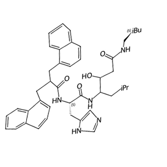 CC[C@H](C)CNC(=O)CC(O)C(CC(C)C)NC(=O)[C@H](Cc1cnc[nH]1)NC(=O)C(Cc1cccc2ccccc12)Cc1cccc2ccccc12